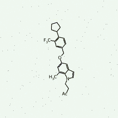 CC(=O)CCn1ccc2cc(OCc3ccc(C4CCCC4)c(C(F)(F)F)c3)cc(C)c21